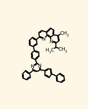 Cc1cc(C(C)C)nc2c1ccc1ccc(-c3cccc(-c4ccc(-c5nc(-c6ccccc6)cc(-c6ccc(-c7ccccc7)cc6)n5)cc4)c3)nc12